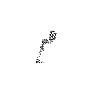 CCCCCCCC/C=C/CCCCCCCC(=O)OC[CH]COP(=O)(O)OCCNS(=O)(=O)c1ccc2ccc3cccc4ccc1c2c34